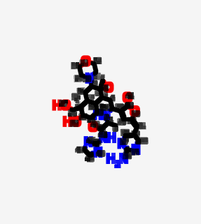 CC(NC(CC1C2(CO2)C(N2CCOCC2)CC2[C@]1(C)CC[C@@H](O)[C@@]2(C)CO)C1=C/C(=C\c2cnc(N)nc2)OC1=O)C(=O)NC1=NCC=N1